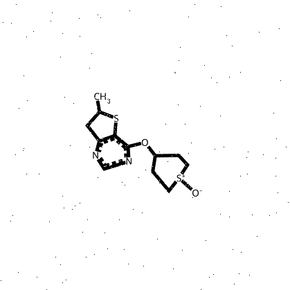 CC1Cc2ncnc(OC3CC[S+]([O-])CC3)c2S1